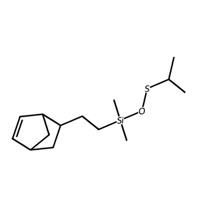 CC(C)SO[Si](C)(C)CCC1CC2C=CC1C2